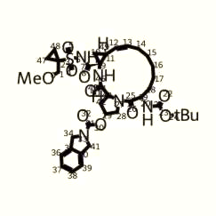 COCC1(S(=O)(=O)NC(=O)[C@@]23C[C@H]2/C=C\CCCCC[C@H](NC(=O)OC(C)(C)C)C(=O)N2C[C@H](OC(=O)N4Cc5ccccc5C4)C[C@H]2C(=O)N3)CC1